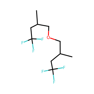 CC(COCC(C)CC(F)(F)F)CC(F)(F)F